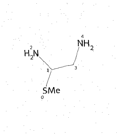 CSC(N)CN